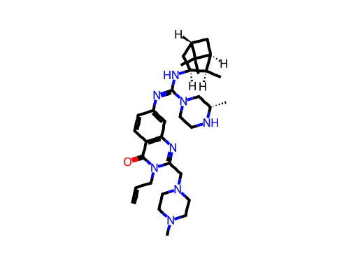 C=CCn1c(CN2CCN(C)CC2)nc2cc(N=C(N[C@H]3C[C@@H]4C[C@@H]([C@H]3C)C4(C)C)N3CCN[C@@H](C)C3)ccc2c1=O